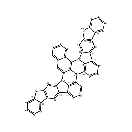 c1ccc2c3c4c(cc2c1)-n1c2cc5sc6ccccc6c5cc2c2cccc(c21)B4c1cccc2c4cc5c(cc4n-3c12)sc1ccccc15